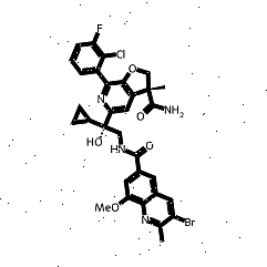 COc1cc(C(=O)NC[C@](O)(c2cc3c(c(-c4cccc(F)c4Cl)n2)OC[C@]3(C)C(N)=O)C2CC2)cc2cc(Br)c(C)nc12